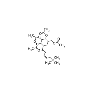 CC(=O)OCC1C[C@@H](SS/C=C\CC(C)(C)C)C(OC(C)=O)C(OC(C)=O)[C@@H]1OC(C)=O